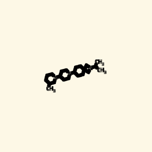 CC1CCCN(C2CCN(C3CCC4(CC3)CN(C(C)C)C4)CC2)C1